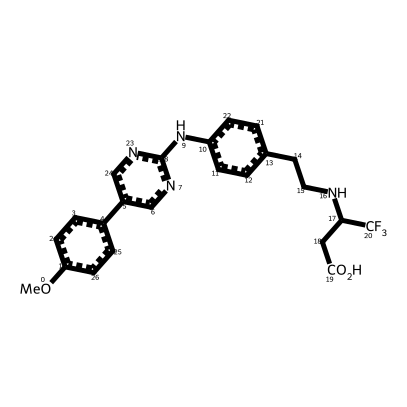 COc1ccc(-c2cnc(Nc3ccc(CCNC(CC(=O)O)C(F)(F)F)cc3)nc2)cc1